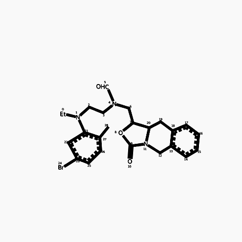 CCN(CCN(C=O)CC1OC(=O)N2Cc3ccccc3CC12)c1cc(Br)ccc1C